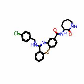 O=C(NC1CCCCNC1=O)c1ccc2c(c1)N=C(NCc1ccc(Cl)cc1)c1ccccc1S2